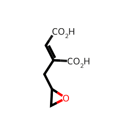 O=C(O)/C=C(/CC1CO1)C(=O)O